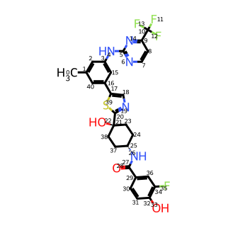 Cc1cc(Nc2nccc(C(F)(F)F)n2)cc(-c2cnc([C@]3(O)CC[C@H](NC(=O)c4ccc(O)c(F)c4)CC3)s2)c1